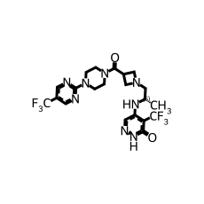 C[C@@H](CN1CC(C(=O)N2CCN(c3ncc(C(F)(F)F)cn3)CC2)C1)Nc1cn[nH]c(=O)c1C(F)(F)F